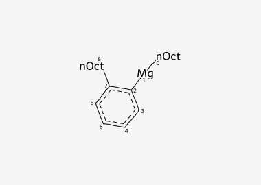 CCCCCCC[CH2][Mg][c]1ccccc1CCCCCCCC